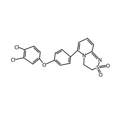 O=S1(=O)CCN2C(c3ccc(Oc4ccc(Cl)c(Cl)c4)cc3)=CC=CC2=N1